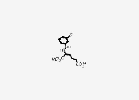 O=C(O)CCC=C(NNc1cccc(Br)c1)C(=O)O